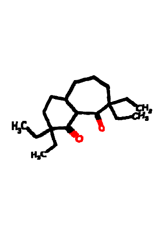 CCC1(CC)CCCC2CCC(CC)(CC)C(=O)C2C1=O